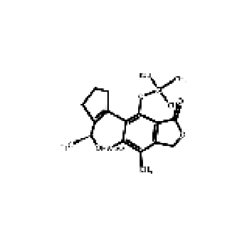 COc1c(C)c2c(c(O[Si](C)(C)C(C)(C)C)c1C1=C([C@H](C)O)CCC1)C(=O)OC2